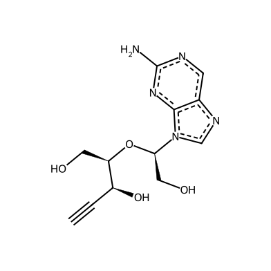 C#C[C@H](O)[C@@H](CO)O[C@H](CO)n1cnc2cnc(N)nc21